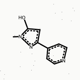 Cn1nc(-c2ccncc2)cc1O